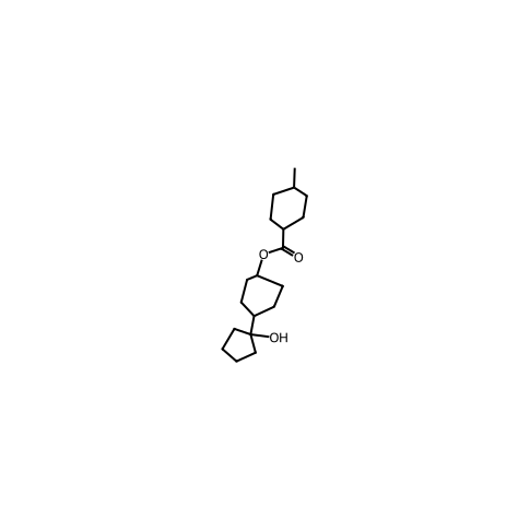 CC1CCC(C(=O)OC2CCC(C3(O)CCCC3)CC2)CC1